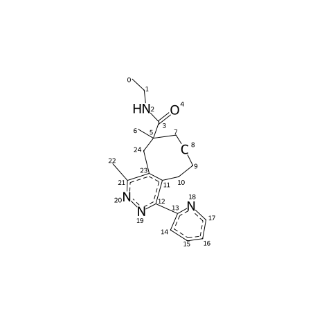 CCNC(=O)C1(C)CCCCc2c(-c3ccccn3)nnc(C)c2C1